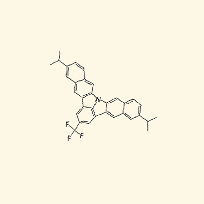 CC(C)c1ccc2cc3c(cc2c1)c1cc(C(F)(F)F)cc2c4cc5cc(C(C)C)ccc5cc4n3c12